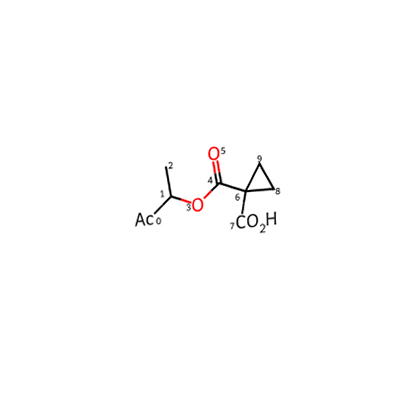 CC(=O)C(C)OC(=O)C1(C(=O)O)CC1